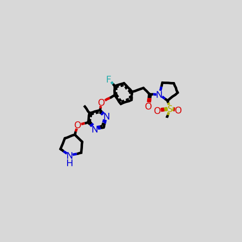 Cc1c(Oc2ccc(CC(=O)N3CCCC3S(C)(=O)=O)cc2F)ncnc1OC1CCNCC1